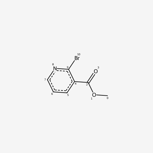 COC(=O)c1cccnc1Br